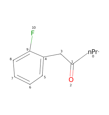 CC[CH]C(=O)Cc1ccccc1F